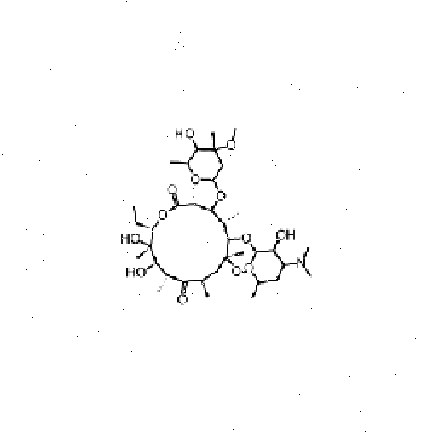 CC[C@H]1OC(=O)[C@H](C)C(OC2CC(C)(OC)C(O)C(C)O2)[C@H](C)C(OC2OC(C)CC(N(C)C)C2O)[C@](C)(OC)C[C@@H](C)C(=O)[C@H](C)[C@@H](O)[C@]1(C)O